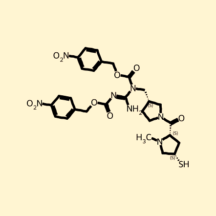 CN1C[C@@H](S)C[C@H]1C(=O)N1CC[C@H](CN(C(=O)OCc2ccc([N+](=O)[O-])cc2)C(N)=NC(=O)OCc2ccc([N+](=O)[O-])cc2)C1